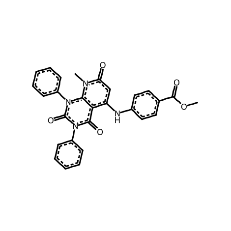 COC(=O)c1ccc(Nc2cc(=O)n(C)c3c2c(=O)n(-c2ccccc2)c(=O)n3-c2ccccc2)cc1